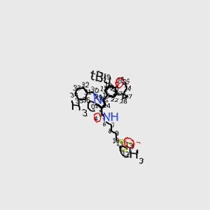 Cc1c(C(=O)NCCCCC[S+](C)[O-])cc(-c2cc(C(C)(C)C)c3c(c2)C2(CCO3)CC2)n1CC1CCCCC1